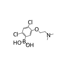 CN(C)CCOc1cc(B(O)O)c(Cl)cc1Cl